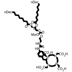 CCCCCCCCCCCCCCCCCC(=O)OC[C@H](COP(=O)(OC)OCCNC(=S)Nc1ccc(CC2CN(CC(=O)O)CCN(CC(=O)O)CCN(CC(=O)O)CCN2CC(=O)O)cc1)OC(=O)CCCCCCCCCCCCCCCCC